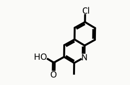 Cc1nc2ccc(Cl)cc2cc1C(=O)O